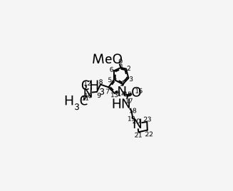 COc1ccc2c(c1)c(CCN(C)C)cn2C(=O)NCCN1CCC1